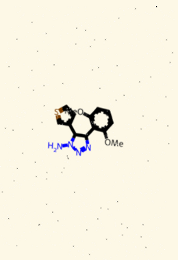 COc1cccc(OC)c1C1N=NN(N)C1c1ccsc1